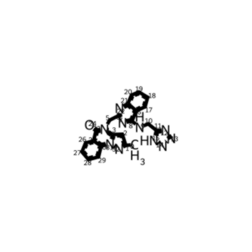 Cc1cc2n(Cc3nc(NCc4nnn[nH]4)c4ccccc4n3)c(=O)c3ccccc3n2n1